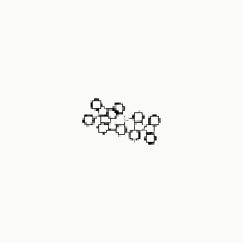 c1ccc(N(c2cccc3c2-c2ccccc2C32c3ccccc3-c3ccccc32)c2cccc3c2oc2c(C4(c5ccccc5)c5ccccc5-c5ccccc54)cccc23)cc1